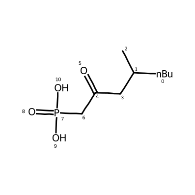 CCCCC(C)CC(=O)CP(=O)(O)O